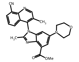 COC(=O)c1cc(N2CCOCC2)cc2c1nc(C)n2-c1c(C)cnc2c(C#N)cccc12